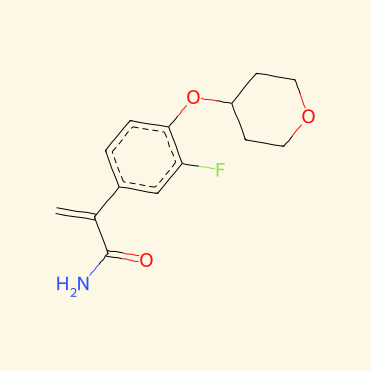 C=C(C(N)=O)c1ccc(OC2CCOCC2)c(F)c1